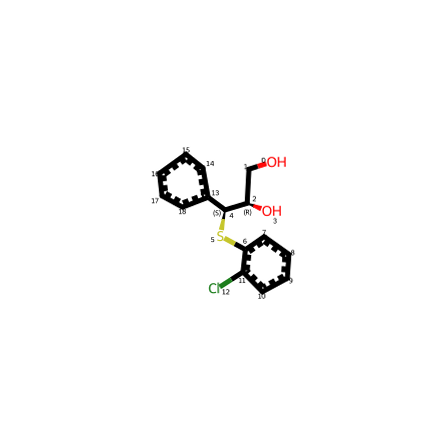 OC[C@@H](O)[C@@H](Sc1ccccc1Cl)c1ccccc1